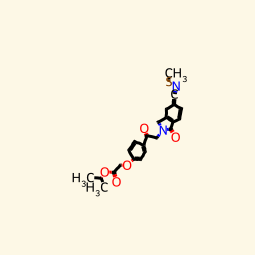 CSN=C=C1C=CC2=C(C1)CN(CC(=O)c1ccc(OCC(=O)OC(C)C)cc1)C2=O